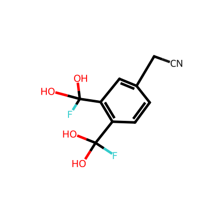 N#CCc1ccc(C(O)(O)F)c(C(O)(O)F)c1